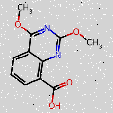 COc1nc(OC)c2cccc(C(=O)O)c2n1